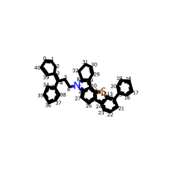 C1=CC/C(=C(\CCn2c3c(c4c5sc6c(-c7ccccc7)cccc6c5ccc42)C=CCC3)c2ccccc2)C=C1